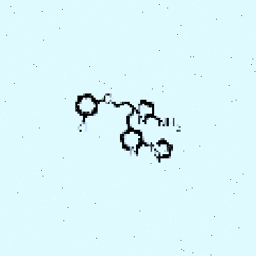 NC1=N[N+](CCOc2cccc(Cl)c2)(Cc2ccnc(-n3cccn3)c2)C=C1